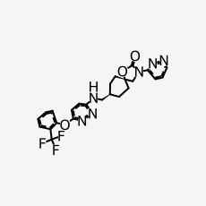 O=C1O[C@]2(CC[C@H](CNc3ccc(Oc4ccccc4C(F)(F)F)nn3)CC2)CN1c1cccnn1